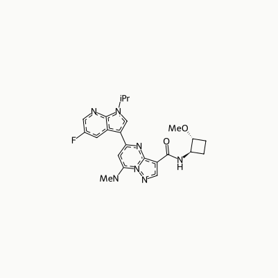 CNc1cc(-c2cn(C(C)C)c3ncc(F)cc23)nc2c(C(=O)N[C@@H]3CC[C@H]3OC)cnn12